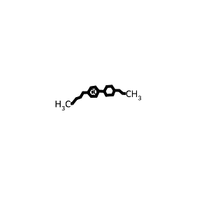 CCCCCC12CCC(C3CCC(CCC)CC3)(CC1)CC2